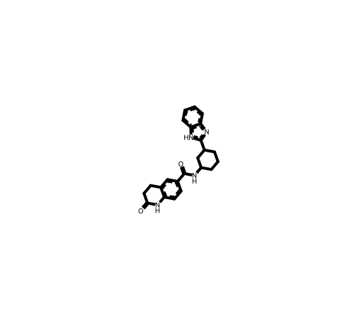 O=C1CCc2cc(C(=O)NC3CCCC(c4nc5ccccc5[nH]4)C3)ccc2N1